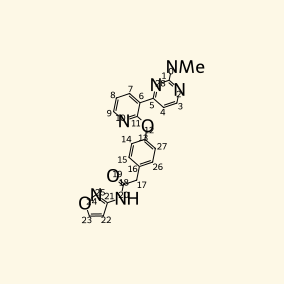 CNc1nccc(-c2cccnc2Oc2ccc(CC(=O)Nc3ccon3)cc2)n1